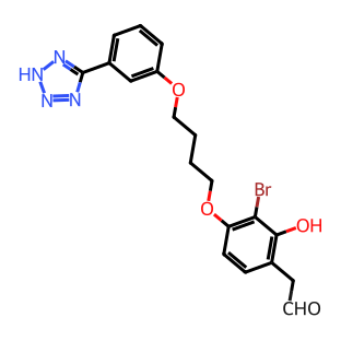 O=CCc1ccc(OCCCCOc2cccc(-c3nn[nH]n3)c2)c(Br)c1O